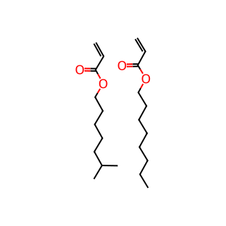 C=CC(=O)OCCCCCC(C)C.C=CC(=O)OCCCCCCCC